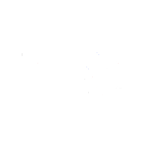 CCS(=O)(=O)C(C)C(=O)c1ncc(-c2ccc(OC(F)(F)F)cc2)n1C